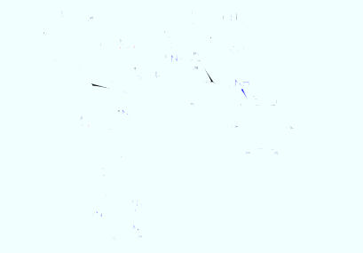 CC1(C)SCN(C(=O)[C@@H](O)[C@H](Cc2ccccc2)NC(=O)CSc2nc[nH]n2)[C@@H]1C(=O)N[C@@H]1C=CCCC1